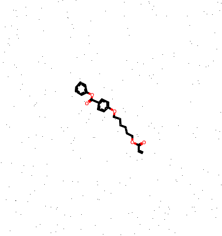 C=CC(=O)OCCCCCCOc1ccc(C(=O)Oc2ccccc2)cc1